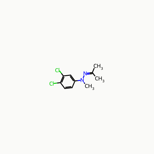 CC(C)=NN(C)c1ccc(Cl)c(Cl)c1